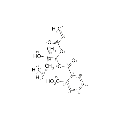 C=CC(=O)OC(OC(=O)c1ccccc1C(=O)O)C(C)(C)O.CC